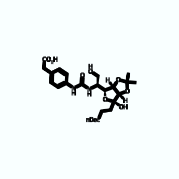 CCCCCCCCCCCC[C@]1(O)O[C@H]([C@H](CO)NC(=O)Nc2ccc(CC(=O)O)cc2)[C@@H]2OC(C)(C)O[C@@H]21